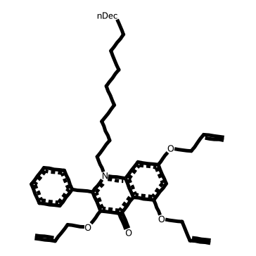 C=CCOc1cc(OCC=C)c2c(=O)c(OCC=C)c(-c3ccccc3)n(CCCCCCCCCCCCCCCCCC)c2c1